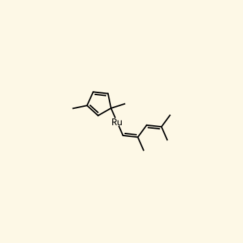 CC(C)=CC(C)=[CH][Ru][C]1(C)C=CC(C)=C1